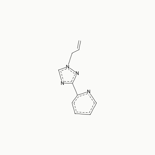 C=CCn1cnc(-c2ccccn2)n1